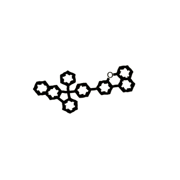 c1ccc(C2(c3ccc(-c4ccc5c(c4)Oc4cccc6cccc-5c46)cc3)c3ccccc3-c3cc4ccccc4cc32)cc1